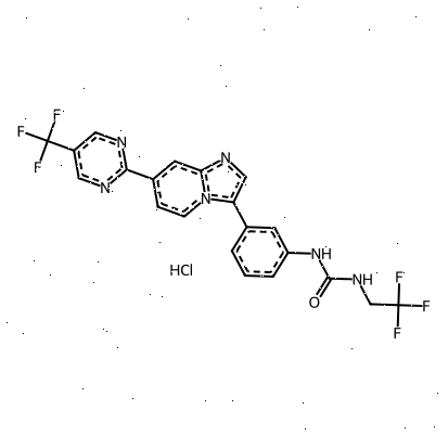 Cl.O=C(NCC(F)(F)F)Nc1cccc(-c2cnc3cc(-c4ncc(C(F)(F)F)cn4)ccn23)c1